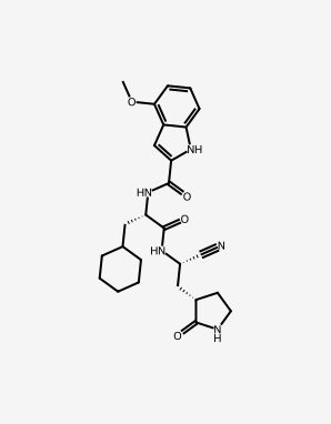 COc1cccc2[nH]c(C(=O)N[C@@H](CC3CCCCC3)C(=O)N[C@H](C#N)C[C@@H]3CCNC3=O)cc12